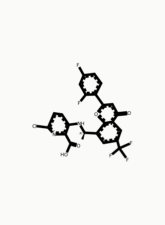 C[C@@H](Nc1ccc(Cl)nc1C(=O)O)c1cc(C(F)(F)F)cc2c(=O)cc(-c3ccc(F)cc3F)oc12